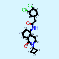 O=C(Cc1ccc(Cl)c(Cl)c1)Nc1cccc2c(=O)n(C3CCC3)ccc12